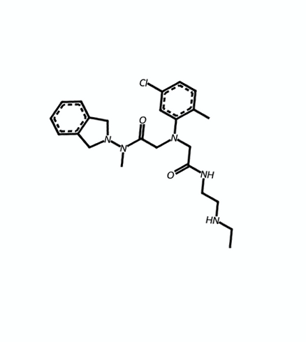 CCNCCNC(=O)CN(CC(=O)N(C)N1Cc2ccccc2C1)c1cc(Cl)ccc1C